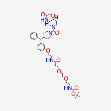 CC(C)(C)OC(=O)NCCOCCOCCC(=O)NCCOc1cccc(C(c2ccccc2)C2CCN(C(=O)N3CC[C@@H]4OCC(=O)N[C@@H]4C3)CC2)c1